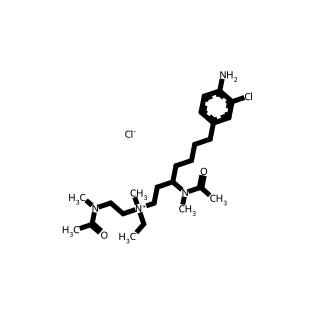 CC[N+](C)(CCC(CCCCc1ccc(N)c(Cl)c1)N(C)C(C)=O)CCN(C)C(C)=O.[Cl-]